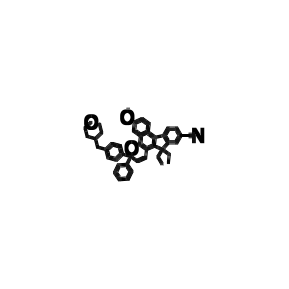 CCC1(CC)c2cc(C#N)ccc2-c2c1c1c(c3cc(OC)ccc23)OC(c2ccccc2)(c2ccc(CC3CCOCC3)cc2)C=C1